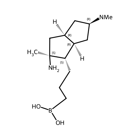 CN[C@@H]1C[C@@H]2C[C@](C)(N)[C@@H](CCCB(O)O)[C@@H]2C1